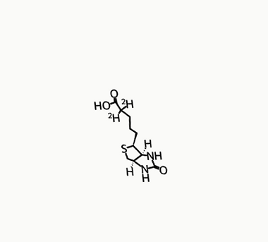 [2H]C([2H])(CCC[C@@H]1SC[C@@H]2NC(=O)N[C@@H]21)C(=O)O